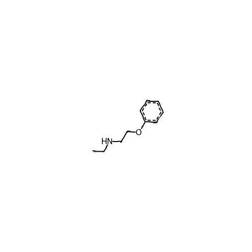 CCNCCOc1ccccc1